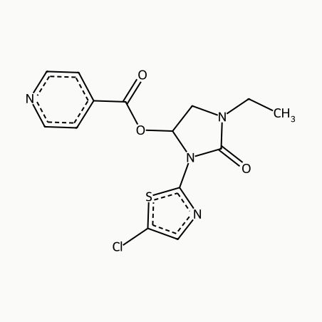 CCN1CC(OC(=O)c2ccncc2)N(c2ncc(Cl)s2)C1=O